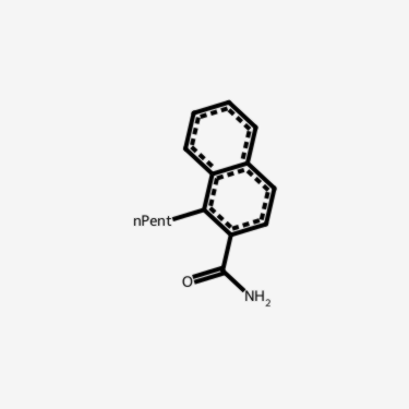 CCCCCc1c(C(N)=O)ccc2ccccc12